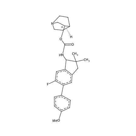 COc1ccc(-c2cc3c(cc2F)C(NC(=O)O[C@H]2CN4CCC2CC4)C(C)(C)C3)cc1